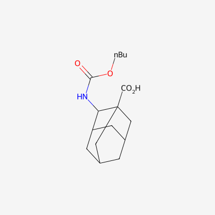 CCCCOC(=O)NC1C2CC3CC(C2)CC1(C(=O)O)C3